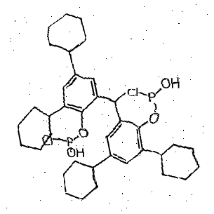 CC(c1cc(C2CCCCC2)cc(C2CCCCC2)c1OP(O)Cl)c1cc(C2CCCCC2)cc(C2CCCCC2)c1OP(O)Cl